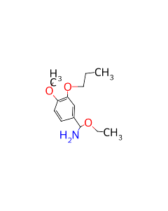 CCCOc1cc(C(N)OCC)ccc1OC